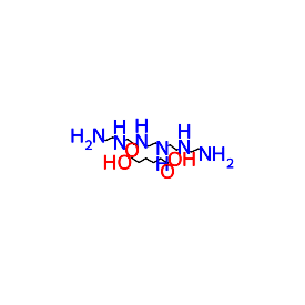 NCCNCCNCCNCCNCCN.O=C(O)CCCCC(=O)O